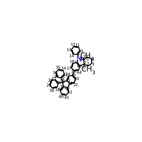 CC12CCCCC1(C)N(c1ccccc1)c1ccc(-c3ccc4c(c3)C(c3ccccc3)(c3ccccc3)c3ccccc3-4)cc12